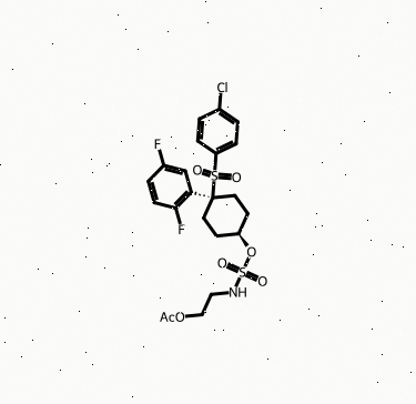 CC(=O)OCCNS(=O)(=O)O[C@H]1CC[C@@](c2cc(F)ccc2F)(S(=O)(=O)c2ccc(Cl)cc2)CC1